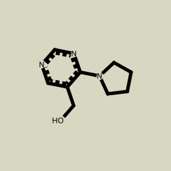 OCc1cn[c]nc1N1CCCC1